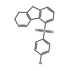 O=S(=O)(c1ccc(Br)cc1)c1cccc2c1C1=C(CCC=C1)C2